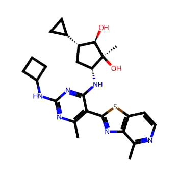 Cc1nc(NC2CCC2)nc(N[C@@H]2C[C@H](C3CC3)[C@@H](O)[C@@]2(C)O)c1-c1nc2c(C)nccc2s1